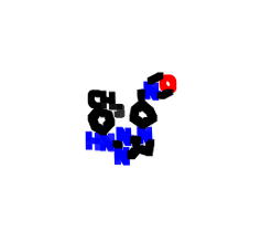 Cc1ccc(Nc2ncc3ccn(-c4ccc(CN5CCOCC5)cc4)c3n2)cc1